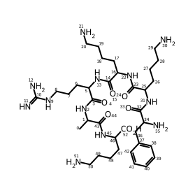 CC(NC(=O)C(CCCNC(=N)N)NC(=O)C(CCCCN)NC(=O)C(CCCCN)NC(=O)C(N)Cc1ccccc1)C(=O)NC(CCCCN)C(=O)O